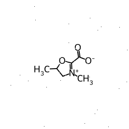 CC1C[N+](C)=C(C(=O)[O-])O1